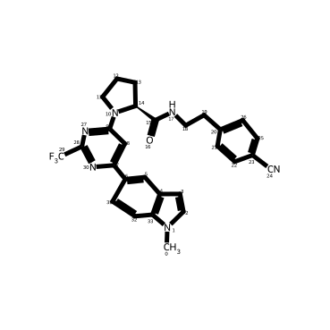 Cn1ccc2cc(-c3cc(N4CCC[C@H]4C(=O)NCCc4ccc(C#N)cc4)nc(C(F)(F)F)n3)ccc21